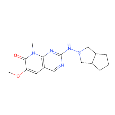 COc1cc2cnc(NN3CC4CCCC4C3)nc2n(C)c1=O